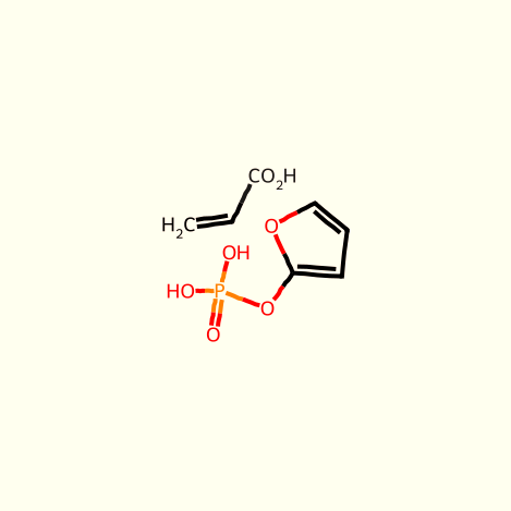 C=CC(=O)O.O=P(O)(O)Oc1ccco1